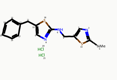 CNc1ncc(CNc2ncc(Cc3ccccc3)s2)s1.Cl.Cl